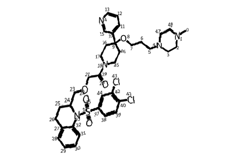 CN1CCN(CCCOC2(c3cccnc3)CCN(C(=O)COCC3CCc4ccccc4N3S(=O)(=O)c3ccc(Cl)c(Cl)c3)CC2)CC1